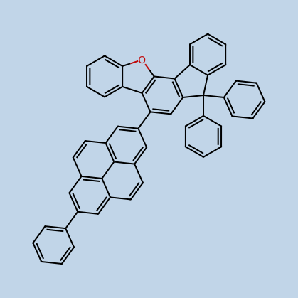 c1ccc(-c2cc3ccc4cc(-c5cc6c(c7oc8ccccc8c57)-c5ccccc5C6(c5ccccc5)c5ccccc5)cc5ccc(c2)c3c45)cc1